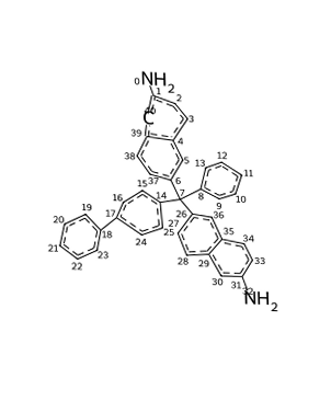 Nc1ccc2cc(C(c3ccccc3)(c3ccc(-c4ccccc4)cc3)c3ccc4cc(N)ccc4c3)ccc2c1